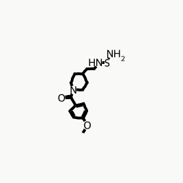 COc1ccc(C(=O)N2CCC(CCNSN)CC2)cc1